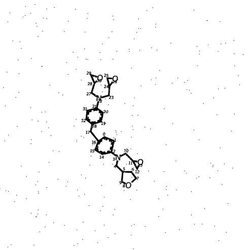 c1cc(N(CC2CCOC2)CC2CO2)ccc1Cc1ccc(N(CC2CO2)CC2CO2)cc1